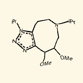 COC1CN(C(C)C)CCc2c(nnn2C(C)C)C1OC